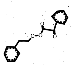 O=C(OOCCc1ccccc1)C(=O)c1ccccc1